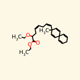 CCOC(=O)C(C/C=C\C/C=C\C1(C)C=CC2(C=CCC=C2)C=C1)OCC